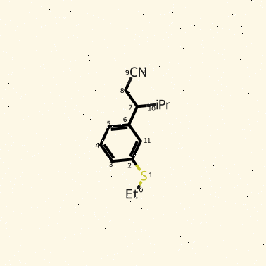 CCSc1cccc(C(CC#N)C(C)C)c1